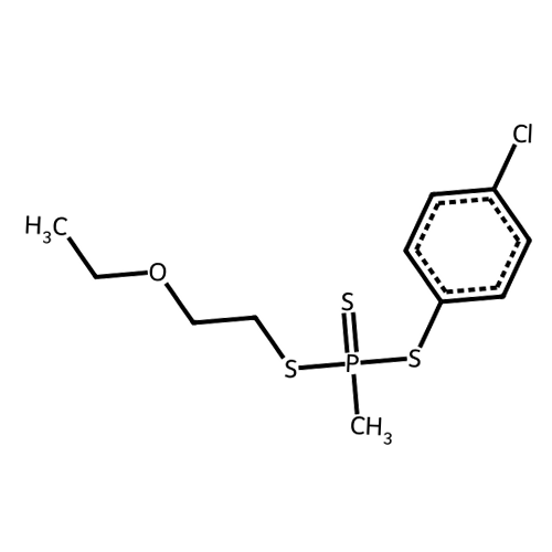 CCOCCSP(C)(=S)Sc1ccc(Cl)cc1